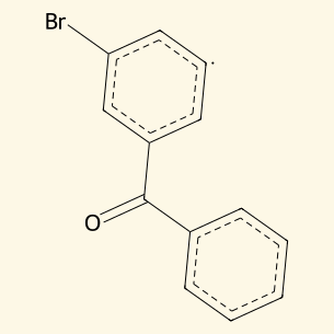 O=C(c1ccccc1)c1c[c]cc(Br)c1